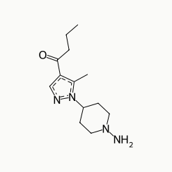 CCCC(=O)c1cnn(C2CCN(N)CC2)c1C